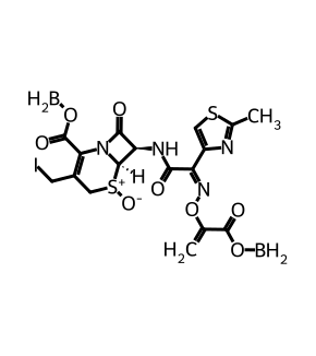 BOC(=O)C(=C)O/N=C(\C(=O)N[C@@H]1C(=O)N2C(C(=O)OB)=C(CI)C[S+]([O-])[C@H]12)c1csc(C)n1